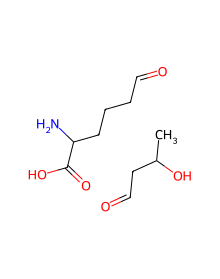 CC(O)CC=O.NC(CCCC=O)C(=O)O